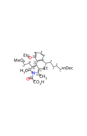 CCCCCCCCCCCCCCCc1cccc(OCC)c1C1=C(CCOC)C(C)N(C(=O)C(=O)O)C(C)=C1CC